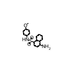 COc1ccc(NS(=O)(=O)c2ccc(N)c3ccccc23)cc1